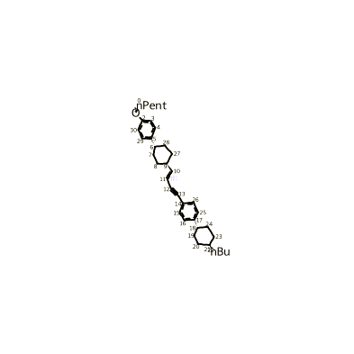 CCCCCOc1ccc([C@H]2CC[C@H](/C=C/C#Cc3ccc([C@H]4CC[C@H](CCCC)CC4)cc3)CC2)cc1